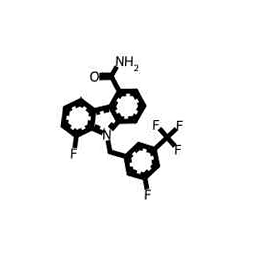 NC(=O)c1cccc2c1c1[c]ccc(F)c1n2Cc1cc(F)cc(C(F)(F)F)c1